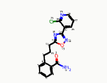 NC(=O)c1ccccc1CC[CH]c1nc(-c2cccnc2Cl)no1